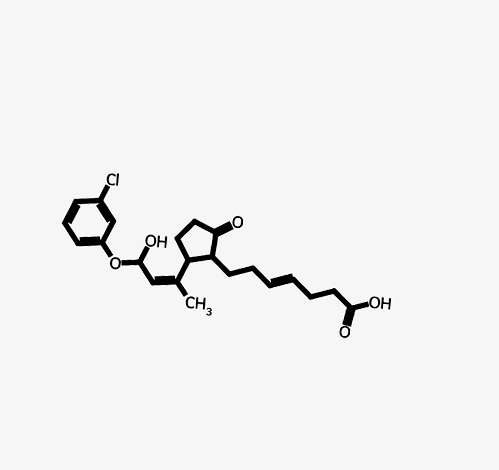 CC(=CC(O)Oc1cccc(Cl)c1)C1CCC(=O)C1CCC=CCCC(=O)O